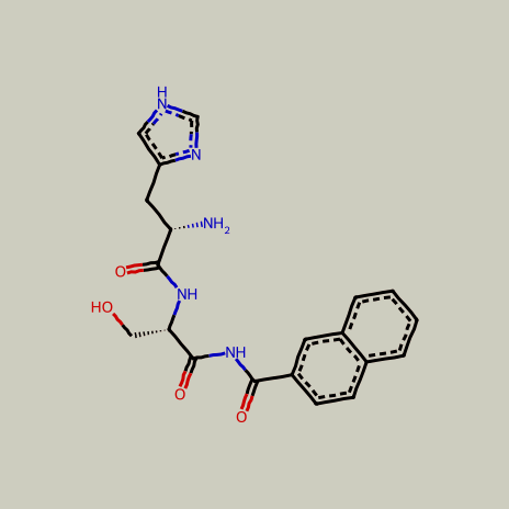 N[C@@H](Cc1c[nH]cn1)C(=O)N[C@@H](CO)C(=O)NC(=O)c1ccc2ccccc2c1